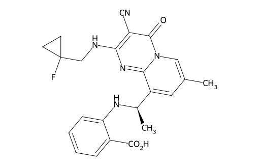 Cc1cc([C@@H](C)Nc2ccccc2C(=O)O)c2nc(NCC3(F)CC3)c(C#N)c(=O)n2c1